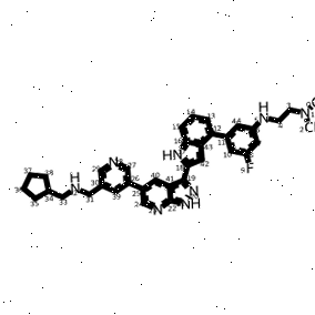 CN(C)CCNc1cc(F)cc(-c2cccc3[nH]c(-c4n[nH]c5ncc(-c6cncc(CNCC7CCCC7)c6)cc45)cc23)c1